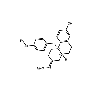 CON=C1CC[C@@]2(Cc3ccc(NC(C)C)cc3)c3ccc(O)cc3CC[C@@H]2C1